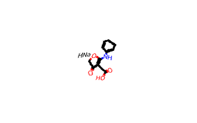 O=C(O)C1=C(Nc2ccccc2)OCC1=O.[NaH]